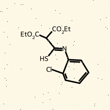 CCOC(=O)C(C(=O)OCC)/C(S)=N/c1ccccc1Cl